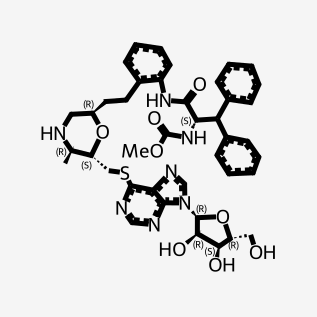 COC(=O)N[C@H](C(=O)Nc1ccccc1CC[C@@H]1CN[C@H](C)[C@@H](CSc2ncnc3c2ncn3[C@@H]2O[C@H](CO)[C@@H](O)[C@H]2O)O1)C(c1ccccc1)c1ccccc1